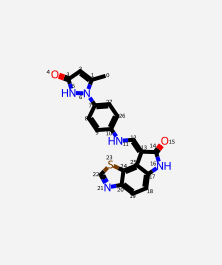 Cc1cc(=O)[nH]n1-c1ccc(N/C=C2/C(=O)Nc3ccc4ncsc4c32)cc1